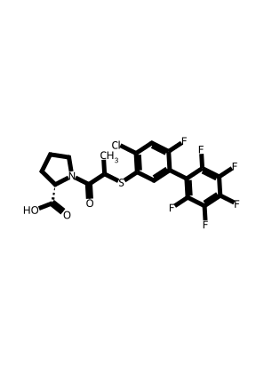 CC(Sc1cc(-c2c(F)c(F)c(F)c(F)c2F)c(F)cc1Cl)C(=O)N1CCC[C@H]1C(=O)O